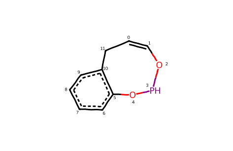 C1=C\OPOc2ccccc2C/1